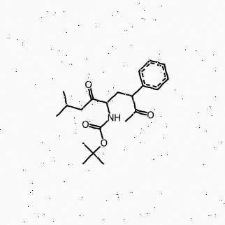 CC(=O)C(CC(NC(=O)OC(C)(C)C)C(=O)CC(C)C)c1ccccc1